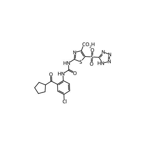 O=C(Nc1nc(C(=O)O)c(S(=O)(=O)c2nnn[nH]2)s1)Nc1ccc(Cl)cc1C(=O)C1CCCC1